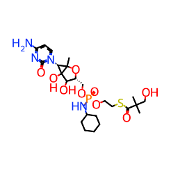 CC(C)(CO)C(=O)SCCOP(=O)(NC1CCCCC1)OC[C@H]1OC2(C)[C@@H](n3ccc(N)nc3=O)C2(O)C1O